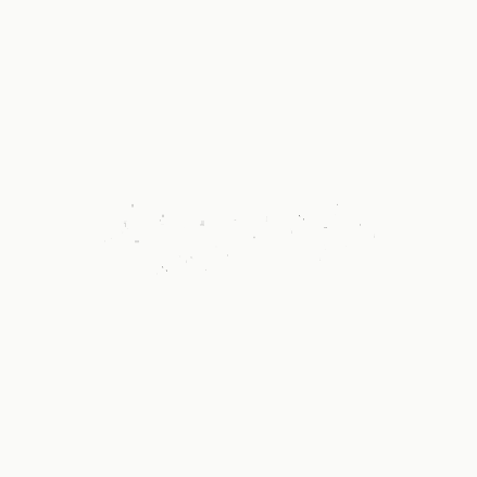 CC(C)(C)OC(=O)NCCOCc1ccc2[nH]cc(C(=O)O)c(=O)c2c1